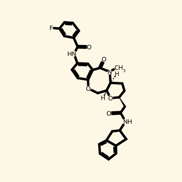 CN1C(=O)c2cc(NC(=O)c3cccc(F)c3)ccc2OC[C@@H]2O[C@H](CC(=O)NC3Cc4ccccc4C3)CC[C@@H]21